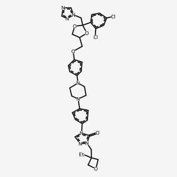 CCC1(Cn2ncn(-c3ccc(N4CCN(c5ccc(OCC6COC(Cn7cncn7)(c7ccc(Cl)cc7Cl)O6)cc5)CC4)cc3)c2=O)COC1